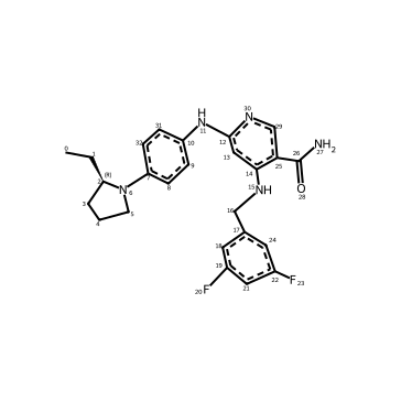 CC[C@@H]1CCCN1c1ccc(Nc2cc(NCc3cc(F)cc(F)c3)c(C(N)=O)cn2)cc1